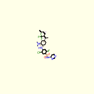 C=C/C=C\C(=C(/C)[C@H]1CC[C@H](Nc2cc(F)c(S(=O)(=O)Nc3ccncn3)cc2Cl)[C@@H](N(C)C)C1)C(F)(F)F